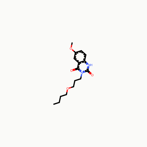 CCCCOCCCn1c(=O)[nH]c2ccc(OC)cc2c1=O